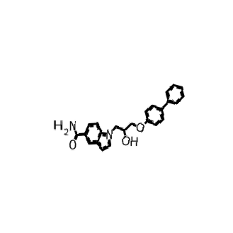 NC(=O)c1ccc2c(ccn2CC(O)COc2ccc(-c3ccccc3)cc2)c1